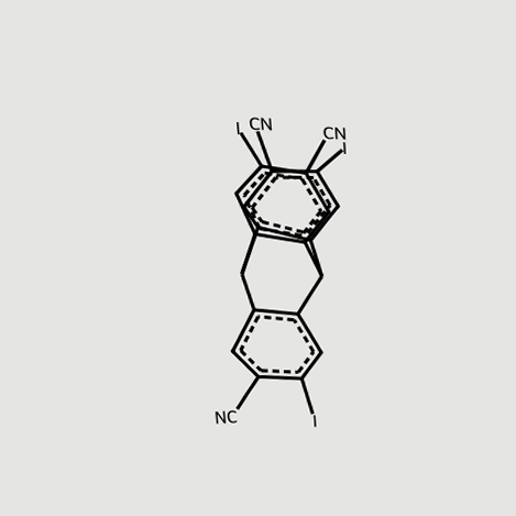 N#Cc1cc2c(cc1I)C1c3cc(C#N)c(I)cc3C2c2cc(I)c(C#N)cc21